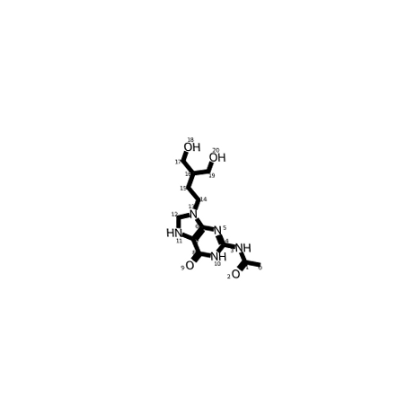 CC(=O)Nc1nc2c(c(=O)[nH]1)NCN2CCC(CO)CO